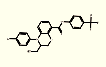 O=C(Nc1ccc(C(F)(F)F)cc1)c1cccc2c1OCC(CO)N2c1ccc(Cl)cc1